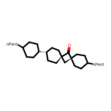 CCCCCC1CCC([C@H]2CC[C@]3(CC2)C[C@@]2(CCC(CCCCC)CC2)C3=O)CC1